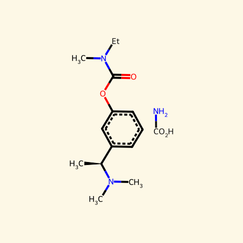 CCN(C)C(=O)Oc1cccc([C@H](C)N(C)C)c1.NC(=O)O